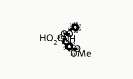 COC(=O)c1ccc(C[C@H](NC(=O)OCc2ccccc2)C(=O)O)cc1